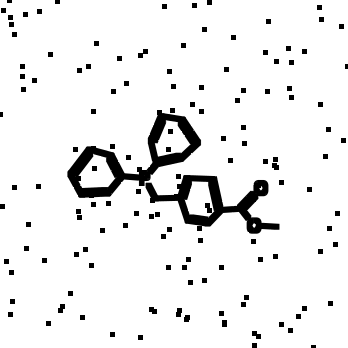 COC(=O)c1ccc(CP(c2ccccc2)c2ccccc2)cc1